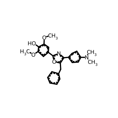 COc1cc(-c2nc(-c3ccc(N(C)C)cc3)c(Cc3ccccc3)o2)cc(OC)c1O